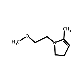 COCCN1CCC=C1C